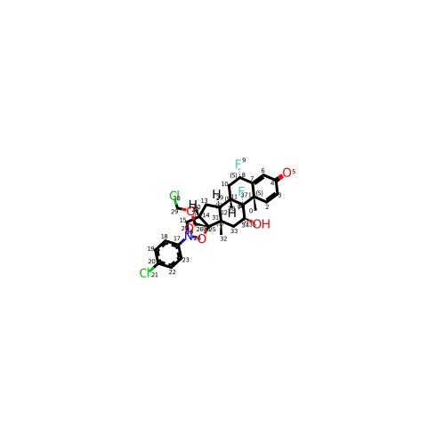 C[C@]12C=CC(=O)C=C1[C@@H](F)C[C@H]1[C@@H]3C[C@H]4CN(c5ccc(Cl)cc5)O[C@@]4(C(=O)OCCl)[C@@]3(C)C[C@H](O)[C@@]12F